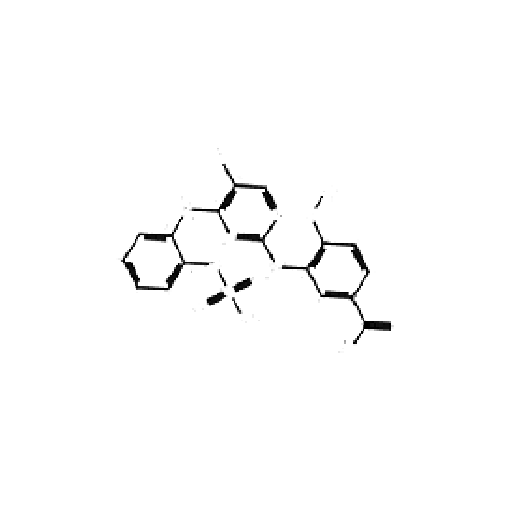 COc1ccc(C(=O)O)cc1Nc1ncc(F)c(Nc2ccccc2NS(C)(=O)=O)n1